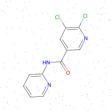 O=C(Nc1ccccn1)c1cnc(Cl)c(Cl)c1